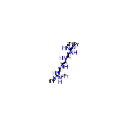 CC(C)N=C(NCCNCCNCCNC(=NC(C)C)NC(C)C)NC(C)C